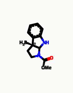 B[C@]12CCN(C(=O)OC)C1Nc1ccccc12